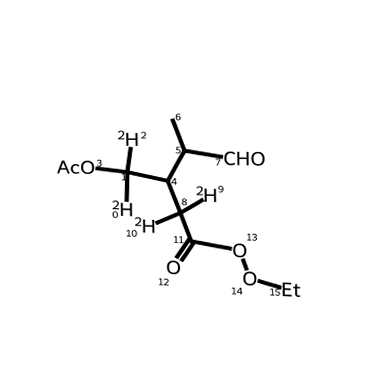 [2H]C([2H])(OC(C)=O)C(C(C)C=O)C([2H])([2H])C(=O)OOCC